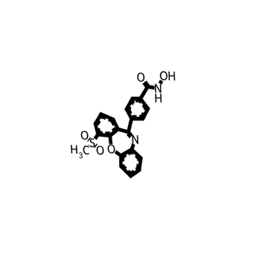 CS(=O)(=O)c1cccc2c1Oc1ccccc1N=C2c1ccc(C(=O)NO)cc1